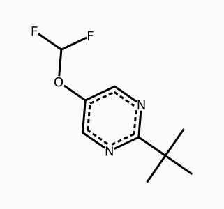 CC(C)(C)c1ncc(OC(F)F)cn1